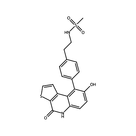 CS(=O)(=O)NCCc1ccc(-c2c(O)ccc3[nH]c(=O)c4sccc4c23)cc1